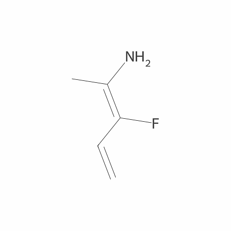 C=C/C(F)=C(\C)N